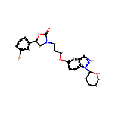 O=C1OC(c2cccc(Br)c2)CN1CCCOc1ccc2c(cnn2C2CCCCO2)c1